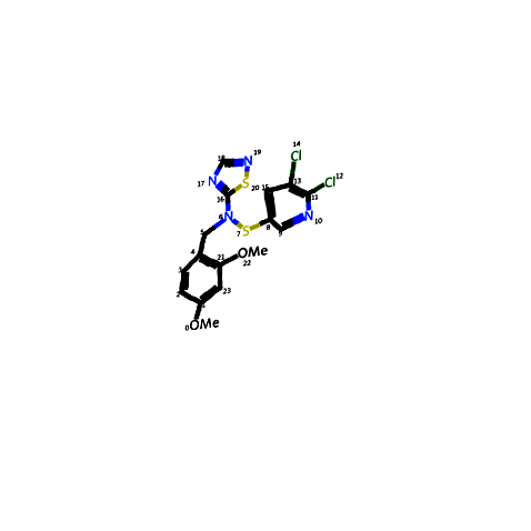 COc1ccc(CN(Sc2cnc(Cl)c(Cl)c2)c2ncns2)c(OC)c1